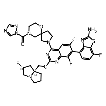 Nc1nc2c(-c3c(Cl)cc4c(N5CCC6(CN(C(=O)n7cncn7)CCO6)C5)nc(OC[C@@]56CCCN5C[C@H](F)C6)nc4c3F)ccc(F)c2s1